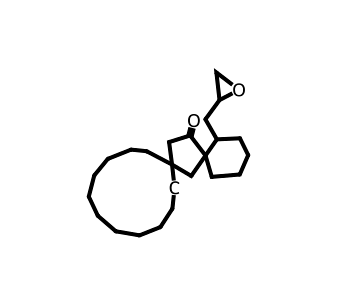 O=C1CC2(CCCCCCCCCCC2)CC12CCCCC2CC1CO1